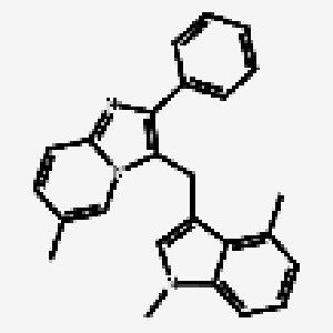 Cc1ccc2nc(-c3ccccc3)c(Cc3cn(C)c4cccc(C)c34)n2c1